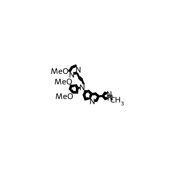 COc1cc(OC)cc(N(CC#Cc2nccc(OC)n2)c2ccc3ncc(-c4cnn(C)c4)cc3c2)c1